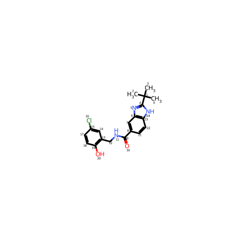 CC(C)(C)c1nc2cc(C(=O)NCc3cc(Cl)ccc3O)ccc2[nH]1